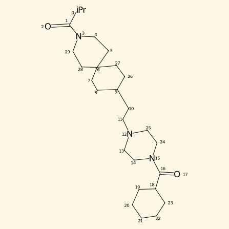 CC(C)C(=O)N1CCC2(CCC(CCN3CCN(C(=O)C4CCCCC4)CC3)CC2)CC1